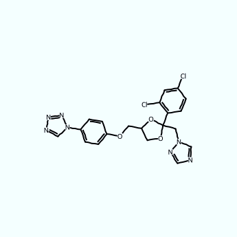 Clc1ccc(C2(Cn3cncn3)OCC(COc3ccc(-n4cnnn4)cc3)O2)c(Cl)c1